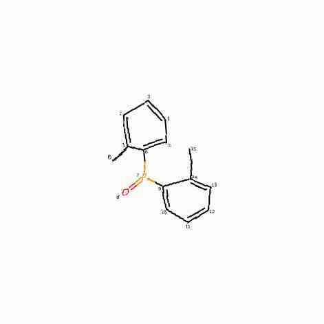 Cc1ccccc1[P](=O)c1ccccc1C